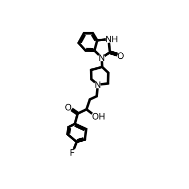 O=C(c1ccc(F)cc1)C(O)CCN1CCC(n2c(=O)[nH]c3ccccc32)CC1